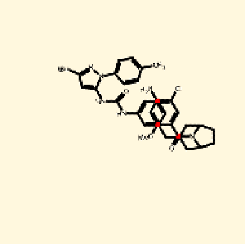 COc1cc(N)c(Cl)cc1C(=O)N1C2CCC1CC(Cc1cccc(NC(=O)Nc3cc(C(C)(C)C)nn3-c3ccc(C)cc3)c1)C2